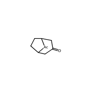 O=C1C[CH]2CC[CH](C1)[Ac]2